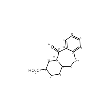 O=C(O)C1CCC2CSc3ccccc3C(=O)N2C1